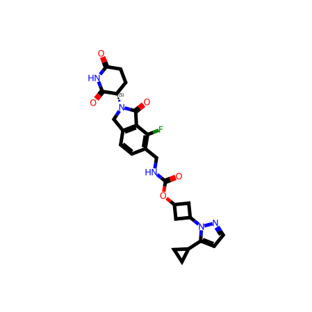 O=C1CC[C@H](N2Cc3ccc(CNC(=O)OC4CC(n5nccc5C5CC5)C4)c(F)c3C2=O)C(=O)N1